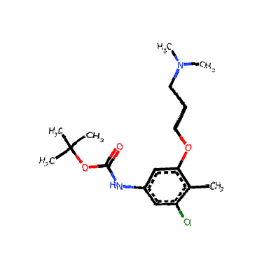 Cc1c(Cl)cc(NC(=O)OC(C)(C)C)cc1OCCCN(C)C